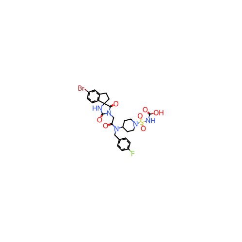 O=C(O)NS(=O)(=O)N1CCC(N(Cc2ccc(F)cc2)C(=O)CN2C(=O)NC3(CCc4cc(Br)ccc43)C2=O)CC1